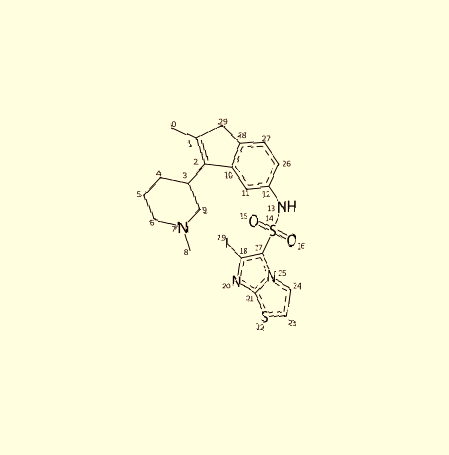 CC1=C(C2CCCN(C)C2)c2cc(NS(=O)(=O)c3c(I)nc4sccn34)ccc2C1